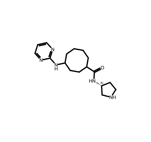 O=C(N[C@@H]1CCNC1)C1CCCCC(Nc2ncccn2)CC1